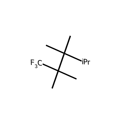 CC(C)C(C)(C)C(C)(C)C(F)(F)F